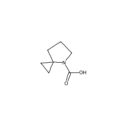 O=C(O)N1CCCC12CC2